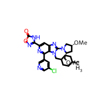 COC[C@@H]1C[C@@H](OC)CN1c1nc2cc(-c3noc(=O)[nH]3)nc(-c3cncc(Cl)c3)c2n1CC1CCC(C)CC1